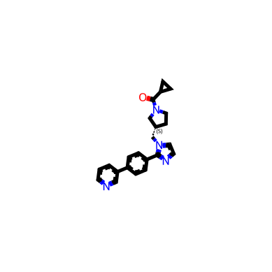 O=C(C1CC1)N1CC[C@H](Cn2ccnc2-c2ccc(-c3cccnc3)cc2)C1